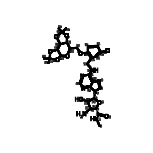 CNC(=O)[C@H]1O[C@@H](n2cnc3c(NCc4cc(Cl)ccc4OCC4OC5OC(C)(C)OC5C5OC(C)(C)OC45)ncnc32)[C@H](O)[C@@H]1N